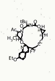 CCOc1ccc2cc3c(nc2c1)O[C@H]1CN(C(=O)[C@H](C(C)(C)C)NC(=O)O[C@@H]2C[C@H]2CCCCC3(F)F)[C@H](C(C)=O)[C@@H]1C